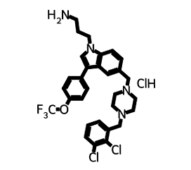 Cl.NCCCn1cc(-c2ccc(OC(F)(F)F)cc2)c2cc(CN3CCN(Cc4cccc(Cl)c4Cl)CC3)ccc21